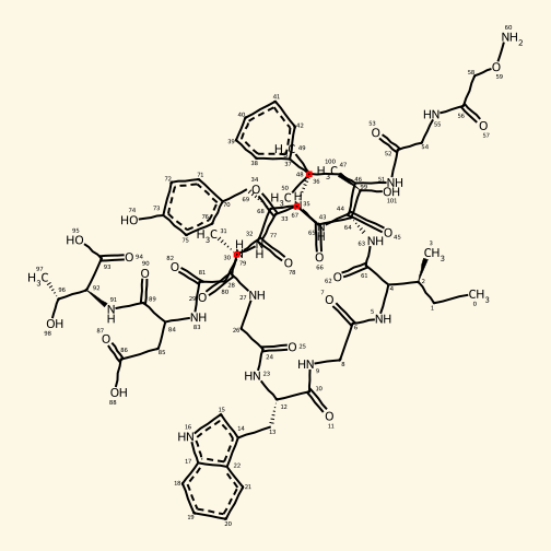 CC[C@H](C)C(NC(=O)CNC(=O)[C@H](Cc1c[nH]c2ccccc12)NC(=O)CNC(=O)[C@H](C)NC(=O)[C@H](Cc1ccccc1)NC(=O)C(CC(C)C)NC(=O)CNC(=O)CON)C(=O)N[C@H](C(=O)N[C@@H](Cc1ccc(O)cc1)C(=O)NCC(=O)NC(CC(=O)O)C(=O)N[C@H](C(=O)O)[C@@H](C)O)[C@@H](C)O